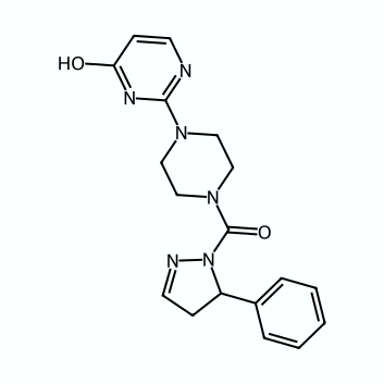 O=C(N1CCN(c2nccc(O)n2)CC1)N1N=CCC1c1ccccc1